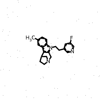 Cc1ccc2c(c1)c1c(n2CCc2cncc(F)c2)CN2CCC1C2